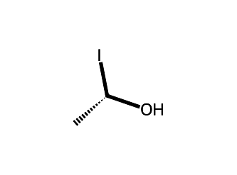 C[C@@H](O)I